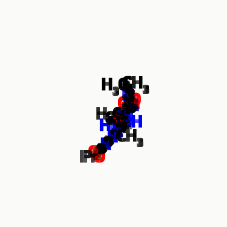 C=CC(=O)Nc1cc(Nc2nc(-c3ccnc(N4CCn5c(cc6c5CC(C)(C)C6)C4=O)c3CO)cn(C)c2=O)ccc1N1CCN(C2CCN(c3ccc(S(=O)(=O)C(C)C)cc3)CC2)C[C@@H]1C